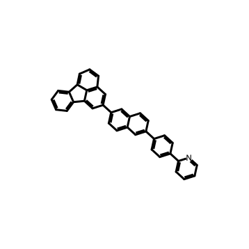 c1ccc(-c2ccc(-c3ccc4cc(-c5cc6c7c(cccc7c5)-c5ccccc5-6)ccc4c3)cc2)nc1